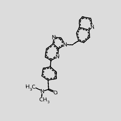 CN(C)C(=O)c1ccc(-c2ccc3ncn(Cc4ccc5ncccc5c4)c3n2)cc1